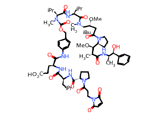 CC[C@H](C)[C@@H]([C@@H](CC(=O)N1CCC[C@H]1[C@H](OC)[C@@H](C)C(=O)N[C@H](C)[C@@H](O)c1ccccc1)OC)N(C)C(=O)[C@@H](NC(=O)[C@H](C(C)C)N(C)C(=O)OCc1ccc(NC(=O)[C@H](CCC(=O)O)NC(=O)[C@H](CC(C)C)NC(=O)[C@@H]2CCCN2C(=O)CCN2C(=O)C=CC2=O)cc1)C(C)C